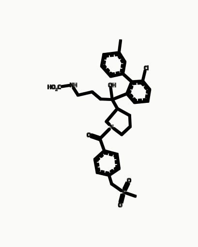 Cc1cccc(-c2c(Cl)cccc2C(O)(CCCNC(=O)O)C2CCCN(C(=O)c3ccc(CS(C)(=O)=O)cc3)C2)c1